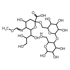 CO/C=N/C1C(O)CC(OCC2OC(OC3C(CO)OC(O)C(O)C3O)C(O)C(O)C2O)(C(=O)O)OC1C(O)C(O)CO